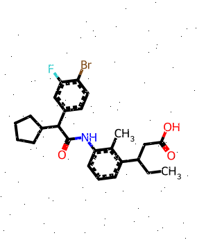 CCC(CC(=O)O)c1cccc(NC(=O)C(c2ccc(Br)c(F)c2)C2CCCC2)c1C